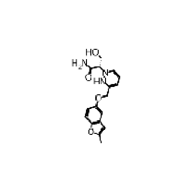 Cc1cc2cc(OCC3=CC=CN([C@@H](CO)C(N)=O)N3)ccc2o1